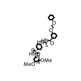 COc1cc(NS(=O)(=O)c2ccc(NC(=S)NC(=O)c3cccc(OCCOc4ccccc4)c3)cc2)nc(OC)n1